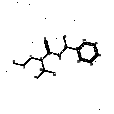 CCCC(C(=O)OC(C)c1ccccc1)C(C)C